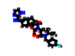 C[C@H](N(Cc1ccc(F)cc1)C(=O)CN1C(=O)O[C@@]2(CCc3cc(NC4=NCCN4)ccc32)C1=O)C(F)(F)F